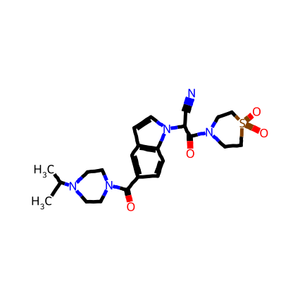 CC(C)N1CCN(C(=O)c2ccc3c(ccn3C(C#N)C(=O)N3CCS(=O)(=O)CC3)c2)CC1